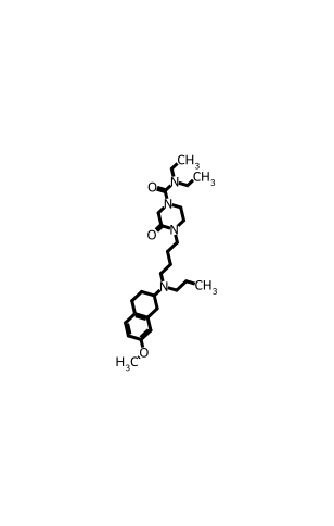 CCCN(CCCCN1CCN(C(=O)N(CC)CC)CC1=O)C1CCc2ccc(OC)cc2C1